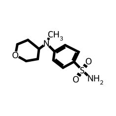 CN(c1ccc(S(N)(=O)=O)cc1)C1CCOCC1